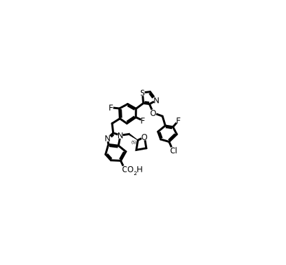 O=C(O)c1ccc2nc(Cc3cc(F)c(-c4scnc4OCc4ccc(Cl)cc4F)cc3F)n(C[C@@H]3CCO3)c2c1